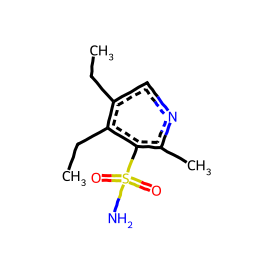 CCc1cnc(C)c(S(N)(=O)=O)c1CC